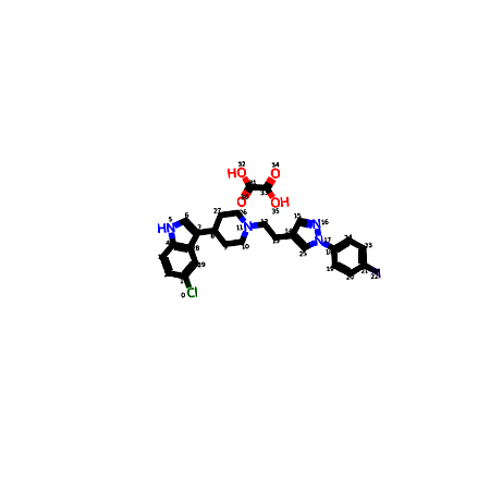 Clc1ccc2[nH]cc(C3CCN(CCc4cnn(-c5ccc(I)cc5)c4)CC3)c2c1.O=C(O)C(=O)O